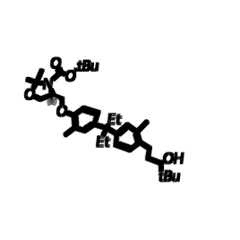 CCC(CC)(c1ccc(CCC(O)C(C)(C)C)c(C)c1)c1ccc(OC[C@H]2COC(C)(C)N2C(=O)OC(C)(C)C)c(C)c1